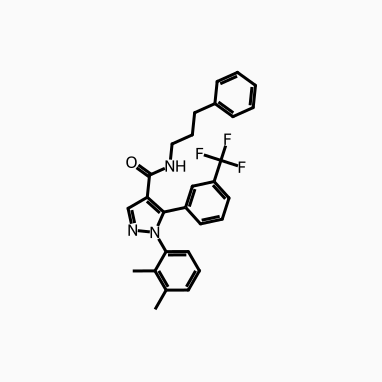 Cc1cccc(-n2ncc(C(=O)NCCCc3ccccc3)c2-c2cccc(C(F)(F)F)c2)c1C